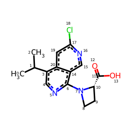 CC(C)c1cnc(N2CC[C@H]2C(=O)O)c2cnc(Cl)cc12